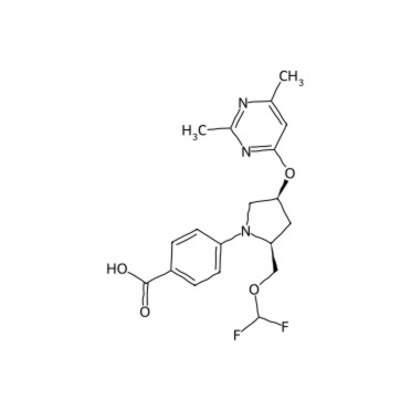 Cc1cc(O[C@H]2C[C@@H](COC(F)F)N(c3ccc(C(=O)O)cc3)C2)nc(C)n1